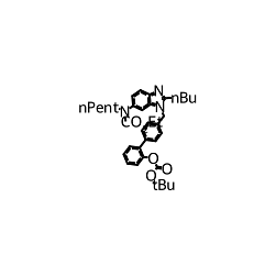 CCCCCN(C(=O)OCC)c1ccc2nc(CCCC)n(Cc3ccc(-c4ccccc4OC(=O)OC(C)(C)C)cc3)c2c1